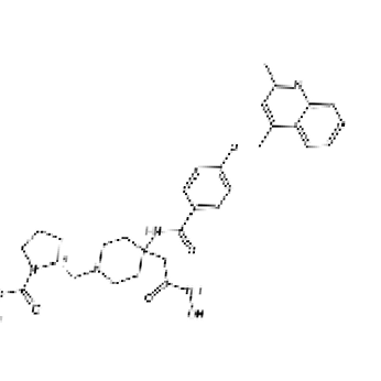 Cc1cc(COc2ccc(C(=O)NC3(CC(=O)NO)CCN(C[C@H]4CCCN4C(=O)OC(C)(C)C)CC3)cc2)c2ccccc2n1